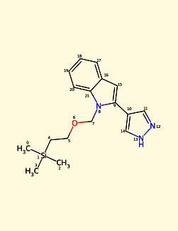 C[Si](C)(C)CCOCn1c(-c2cn[nH]c2)cc2ccccc21